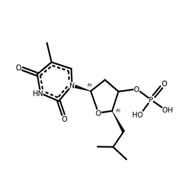 Cc1cn([C@H]2CC(OP(=O)(O)O)[C@@H](CC(C)C)O2)c(=O)[nH]c1=O